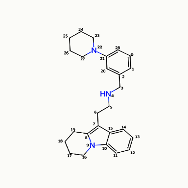 c1cc(CNCCc2c3n(c4ccccc24)CCCC3)cc(N2CCCCC2)c1